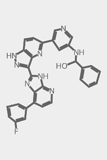 OC(Nc1cncc(-c2ccc3[nH]nc(-c4nc5c(-c6cccc(F)c6)ccnc5[nH]4)c3n2)c1)c1ccccc1